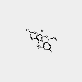 CCN(C)/C=N\c1cc(Br)c(O[C@@H](C)c2cc(F)cc(F)c2)nc1C